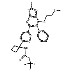 COCCNc1c(-c2ccccc2)c(-c2ccc(C3(NC(=O)OC(C)(C)C)CCC3)cc2)nc2nc(C)nn12